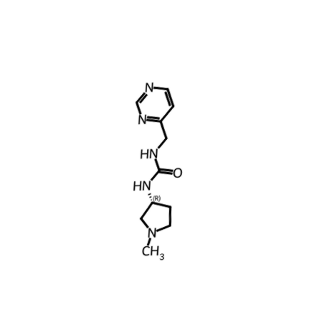 CN1CC[C@@H](NC(=O)NCc2ccncn2)C1